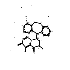 C=C1C=NN2C(=C1C)C(=C)N(C)CC2C1c2ccccc2CCc2c(F)cccc21